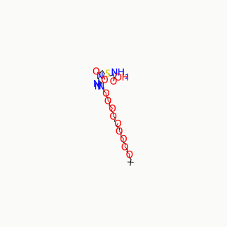 CC(C)(C)CCOCCOCCOCCOCCOCCOCCOCCOCCOCCn1cc(CN2C(=O)CC(SCC(N)C(=O)O)C2=O)nn1